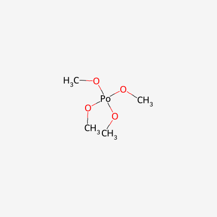 C[O][Po]([O]C)([O]C)[O]C